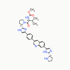 COC(=O)N[C@H](C(=O)N1CCC[C@H]1c1nc(-c2ccc(-c3cnc4cc(-c5cnc([C@@H]6CCCN6)[nH]5)ccc4c3)cc2)c[nH]1)C(C)C